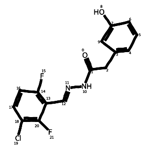 O=C(Cc1cccc(O)c1)N/N=C/c1c(F)ccc(Cl)c1F